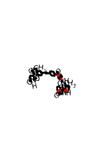 CN1[C@@H](C(=O)NC23CCC(C(=O)N4CCC(C#Cc5ccc6c(c5)n(C)c(=O)n6C5CCC(=O)NC5=O)CC4)(CC2)CC3)[C@H](c2cccc(Cl)c2F)[C@]2(C(=O)Nc3cc(Cl)ccc32)C12CCCCC2